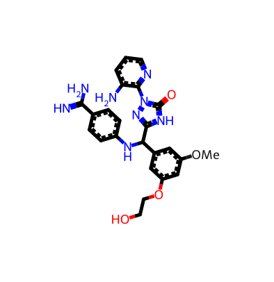 COc1cc(OCCO)cc(C(Nc2ccc(C(=N)N)cc2)c2nn(-c3ncccc3N)c(=O)[nH]2)c1